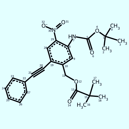 CC(C)(C)OC(=O)Nc1cc(COC(=O)C(C)(C)C)c(C#Cc2ccccc2)cc1[N+](=O)[O-]